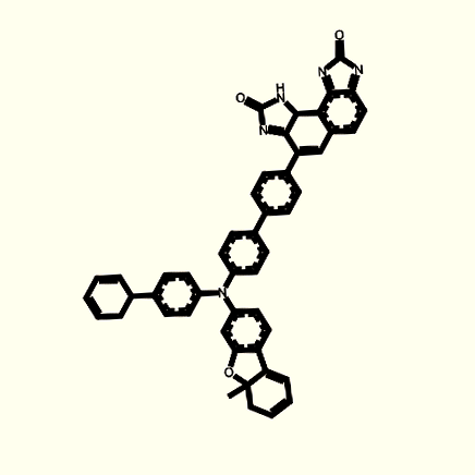 CC12CC=CC=C1c1ccc(N(c3ccc(-c4ccc(C5=Cc6ccc7c(c6C6NC(=O)N=C56)=NC(=O)N=7)cc4)cc3)c3ccc(C4C=CC=CC4)cc3)cc1O2